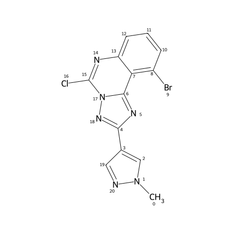 Cn1cc(-c2nc3c4c(Br)cccc4nc(Cl)n3n2)cn1